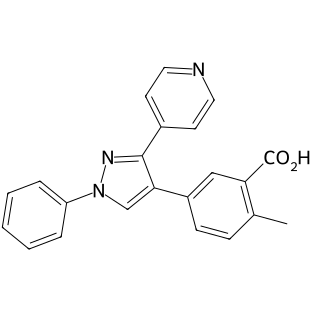 Cc1ccc(-c2cn(-c3ccccc3)nc2-c2ccncc2)cc1C(=O)O